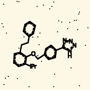 CC(C)c1cccc(CCc2ccccc2)c1OCc1ccc(-c2nnn[nH]2)cc1